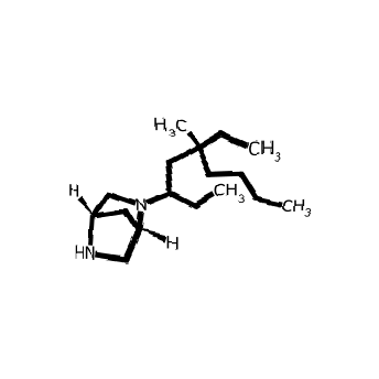 CCCCC(C)(CC)CC(CC)N1C[C@@H]2C[C@H]1CN2